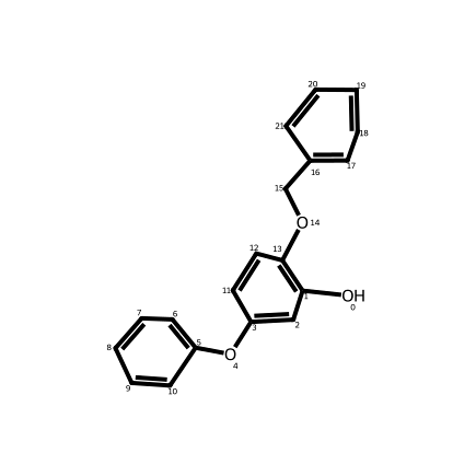 Oc1cc(Oc2ccccc2)ccc1OCc1ccccc1